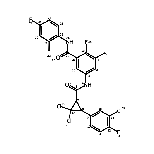 Cc1cc(NC(=O)C2C(c3ccc(F)c(Cl)c3)C2(Cl)Cl)cc(C(=O)Nc2ccc(F)cc2F)c1F